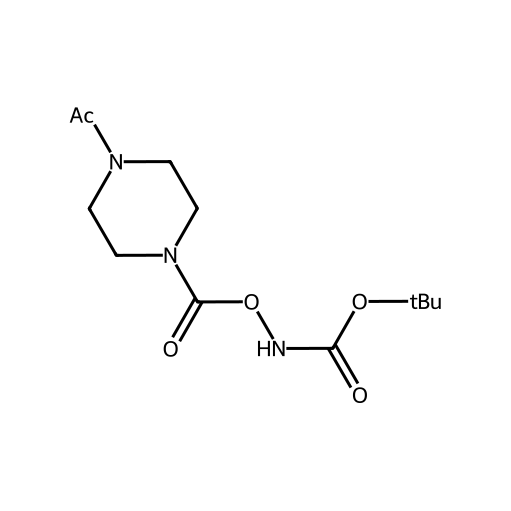 CC(=O)N1CCN(C(=O)ONC(=O)OC(C)(C)C)CC1